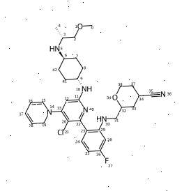 COC[C@@H](C)N[C@H]1CC[C@H](Nc2cc(N3C=CC=CC3)c(Cl)c(-c3ccc(F)cc3NCC3CC(C#N)CCO3)n2)CC1